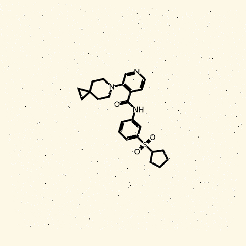 O=C(Nc1cccc(S(=O)(=O)C2CCCC2)c1)c1ccncc1N1CCC2(CC1)CC2